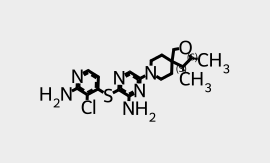 C[C@@H]1OCC2(CCN(c3cnc(Sc4ccnc(N)c4Cl)c(N)n3)CC2)[C@@H]1C